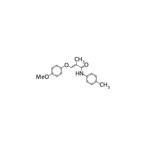 COc1ccc(O/C=C(\C)C(=O)Nc2ccc(C)cc2)cc1